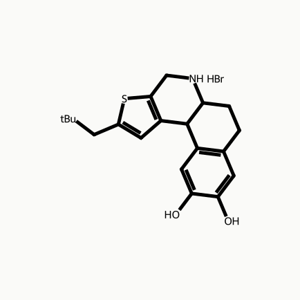 Br.CC(C)(C)Cc1cc2c(s1)CNC1CCc3cc(O)c(O)cc3C21